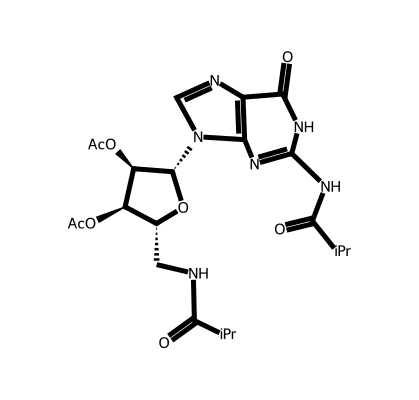 CC(=O)O[C@@H]1[C@H](OC(C)=O)[C@@H](CNC(=O)C(C)C)O[C@H]1n1cnc2c(=O)[nH]c(NC(=O)C(C)C)nc21